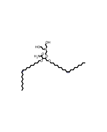 CCCCCCCC/C=C\CCCCCCCCOCC(OCCN(CCO)CCO)C(OCCCCCCCC/C=C\CCCCCCCC)C(N)=O